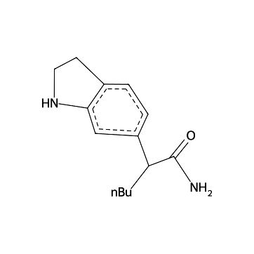 CCCCC(C(N)=O)c1ccc2c(c1)NCC2